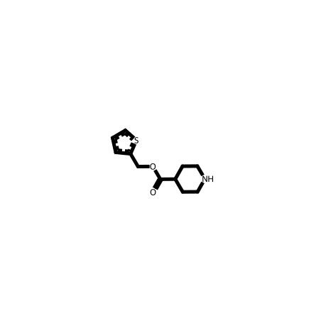 O=C(OCc1cccs1)C1CCNCC1